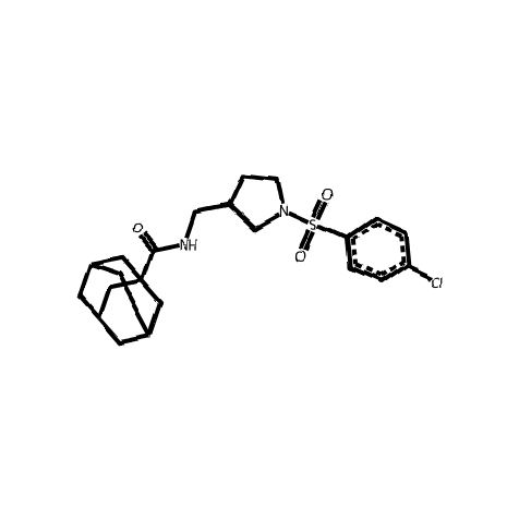 O=C(NCC1CCN(S(=O)(=O)c2ccc(Cl)cc2)C1)C12CC3CC(CC(C3)C1)C2